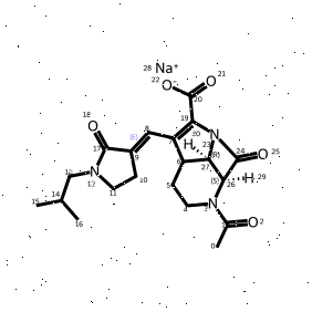 CC(=O)N1CCC2C(/C=C3\CCN(CC(C)C)C3=O)=C(C(=O)[O-])N3C(=O)[C@@H]1[C@@H]23.[Na+]